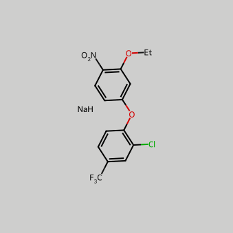 CCOc1cc(Oc2ccc(C(F)(F)F)cc2Cl)ccc1[N+](=O)[O-].[NaH]